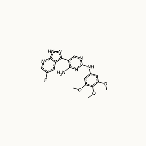 COc1cc(Nc2ncc(-c3n[nH]c4ncc(F)cc34)c(N)n2)cc(OC)c1OC